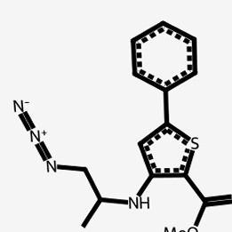 COC(=O)c1sc(-c2ccccc2)cc1NC(C)CN=[N+]=[N-]